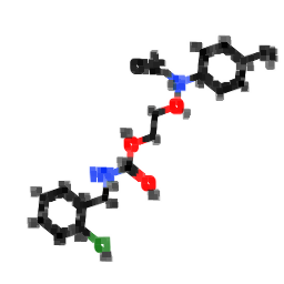 CCc1ccc(N(C=O)OCCOC(=O)NCc2ccccc2Cl)cc1